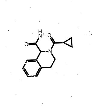 NC(=O)C1c2ccccc2CCN1C(=O)C1CC1